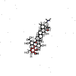 C/C=C(\C)C(=O)O[C@H]1[C@H](OC(C)=O)[C@]2(CO)[C@H](O)[C@H](O)[C@]3(C)C(=CC[C@@H]4[C@@]5(C)CC[C@H](O[C@@H]6O[C@H](C(=O)O)[C@@H](O)[C@H](O[C@@H]7OC[C@H](O)[C@H](O)[C@H]7O[C@@H]7OC[C@@H](O)[C@H](O)[C@H]7O)[C@H]6O[C@@H]6O[C@H](CO)[C@H](O)[C@H](O)[C@H]6O)C(C)(C)[C@@H]5CC[C@]43C)[C@@H]2CC1(C)C